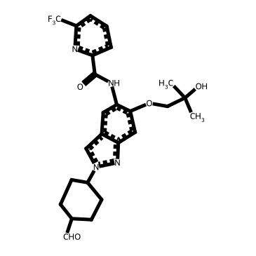 CC(C)(O)COc1cc2nn(C3CCC(C=O)CC3)cc2cc1NC(=O)c1cccc(C(F)(F)F)n1